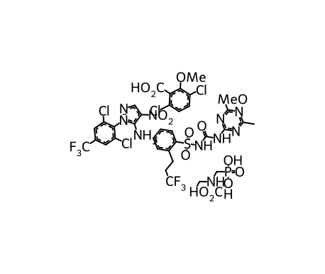 COc1c(Cl)ccc(Cl)c1C(=O)O.COc1nc(C)nc(NC(=O)NS(=O)(=O)c2ccccc2CCC(F)(F)F)n1.Nc1c([N+](=O)[O-])cnn1-c1c(Cl)cc(C(F)(F)F)cc1Cl.O=C(O)CNCP(=O)(O)O